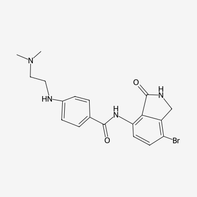 CN(C)CCNc1ccc(C(=O)Nc2ccc(Br)c3c2C(=O)NC3)cc1